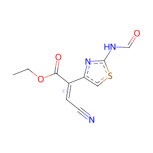 CCOC(=O)/C(=C/C#N)c1csc(NC=O)n1